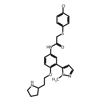 Cn1nccc1-c1cc(NC(=O)CSc2ccc(Cl)cc2)ccc1OCCC1CCCN1